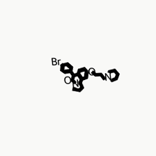 O=C1C(c2ccc(Br)cc2)c2ccc(OCCCN3CCCCC3)cc2C2CCCN12